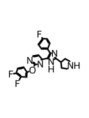 Fc1ccc(-c2nc(C3CCNCC3)[nH]c2-c2ccnc(Oc3ccc(F)c(F)c3)n2)cc1